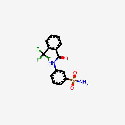 NS(=O)(=O)c1cccc(NC(=O)c2ccccc2C(F)(F)F)c1